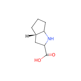 O=C(O)C1C[C@@H]2CCCC2N1